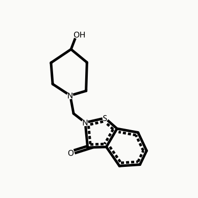 O=c1c2ccccc2sn1CN1CCC(O)CC1